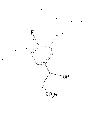 O=C(O)CC(O)c1ccc(F)c(F)c1